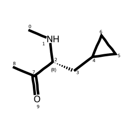 CN[C@H](CC1CC1)C(C)=O